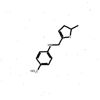 CC1CC=C(CNc2ccc(C(=O)O)cc2)S1